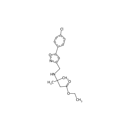 CCOC(=O)CC(C)(C)NCc1cc(-c2ccc(Cl)cc2)on1